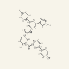 Cc1cn(-c2cc(NC(=O)c3ccc(C)c(Nc4nccc(-c5ccc(F)cc5)n4)c3)cc(N3CCN(C)CC3)c2)cn1